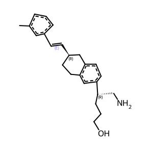 Cc1cccc(/C=C/[C@@H]2CCc3cc([C@H](CN)CCCO)ccc3C2)c1